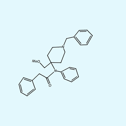 COCC1(N(C(=O)Cc2ccccc2)c2ccccc2)CCN(Cc2ccccc2)CC1